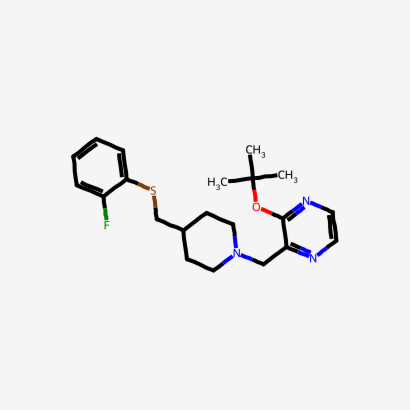 CC(C)(C)Oc1nccnc1CN1CCC(CSc2ccccc2F)CC1